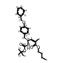 CCCCOC(=O)/C(C)=C\[C@H](Cc1ccc(OCc2ccccc2)cc1)NC(=O)OC(C)(C)C